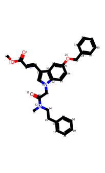 COC(=O)/C=C/c1cn(CC(=O)N(C)CCc2ccccc2)c2ccc(OCc3ccccc3)cc12